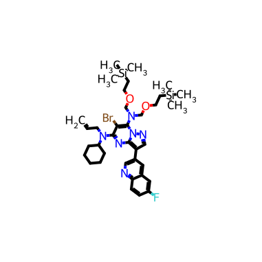 C=CCN(c1nc2c(-c3cnc4ccc(F)cc4c3)cnn2c(N(COCC[Si](C)(C)C)COCC[Si](C)(C)C)c1Br)C1CCCCC1